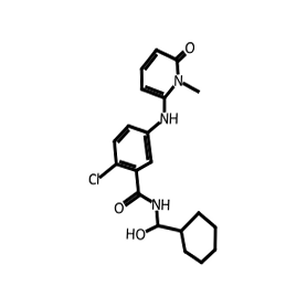 Cn1c(Nc2ccc(Cl)c(C(=O)NC(O)C3CCCCC3)c2)cccc1=O